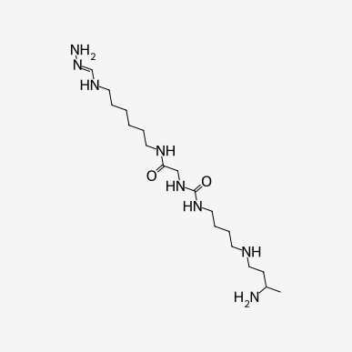 CC(N)CCNCCCCNC(=O)NCC(=O)NCCCCCCNC=NN